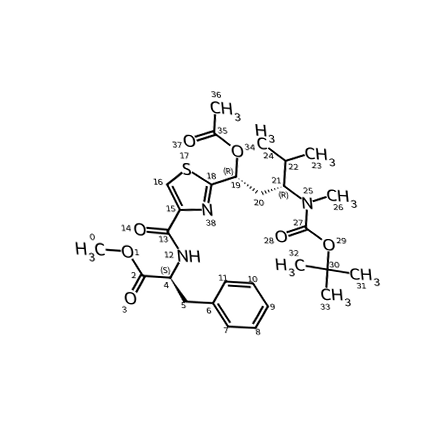 COC(=O)[C@H](Cc1ccccc1)NC(=O)c1csc([C@@H](C[C@H](C(C)C)N(C)C(=O)OC(C)(C)C)OC(C)=O)n1